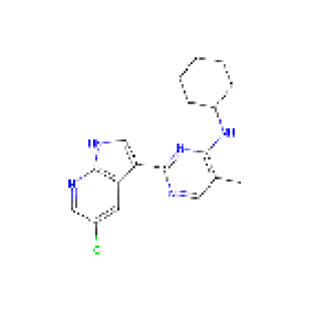 Cc1cnc(-c2c[nH]c3ncc(Cl)cc23)nc1NC1CCCCC1